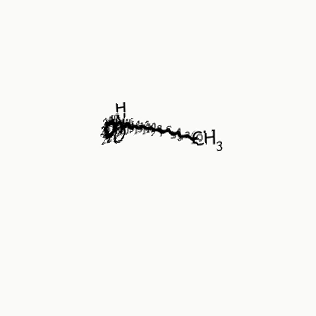 CCCCCCCCCCCCCCCCCC(=O)Nc1cc[c]cc1